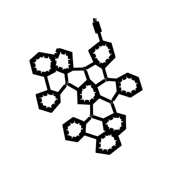 N#Cc1ccc2c(c1)B1c3ccccc3N(c3ccccc3-c3ccccc3)c3cc4c5c(c31)N2c1ccccc1B5c1ccccc1N4c1ccccc1-c1ccccc1